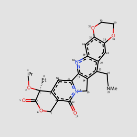 CC[C@@]1(OC(C)C)C(=O)OCc2c1cc1n(c2=O)Cc2c-1nc1cc3c(cc1c2CNC)OCCO3